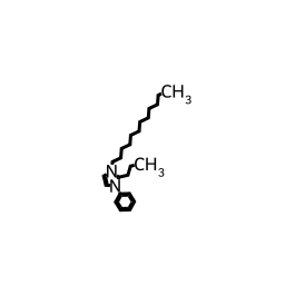 CCCCCCCCCCCCN1C=CN(c2ccccc2)C1CCC